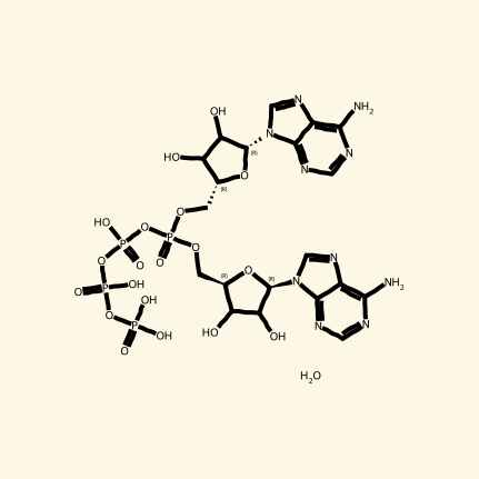 Nc1ncnc2c1ncn2[C@@H]1O[C@H](COP(=O)(OC[C@H]2O[C@@H](n3cnc4c(N)ncnc43)C(O)C2O)OP(=O)(O)OP(=O)(O)OP(=O)(O)O)C(O)C1O.O